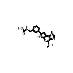 CNc1nc2[nH]c(-c3cccc(CNC(=O)O)c3)cc2c2c1ncn2C